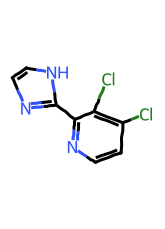 Clc1ccnc(-c2ncc[nH]2)c1Cl